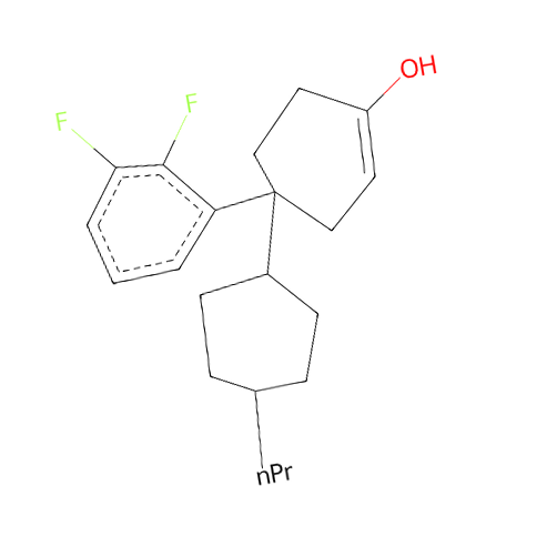 CCCC1CCC(C2(c3cccc(F)c3F)CC=C(O)CC2)CC1